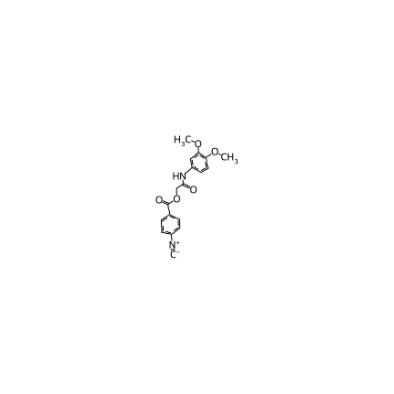 [C-]#[N+]c1ccc(C(=O)OCC(=O)Nc2ccc(OC)c(OC)c2)cc1